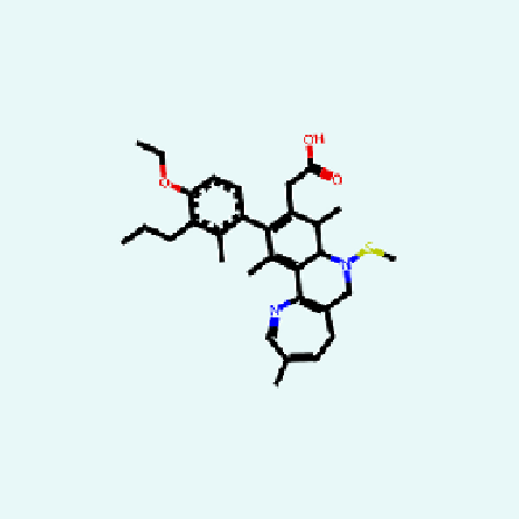 CCCc1c(OCC)ccc(C2=C(CC(=O)O)C(C)C3C(=C2C)C2=C(CC=C(C)C=N2)CN3SC)c1C